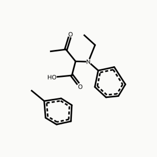 CCN(c1ccccc1)C(C(C)=O)C(=O)O.Cc1ccccc1